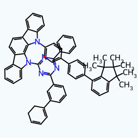 CC1(C)c2cccc(-c3ccc(-c4ccc(-n5c6ccccc6c6ccc7c8ccccc8n(-c8nc(-c9ccccc9)nc(-c9cccc(C%10=CC=CCC%10)c9)n8)c7c65)cc4)cc3)c2C(C)(C)C1(C)C